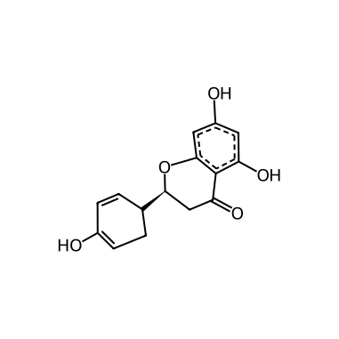 O=C1C[C@@H](C2C=CC(O)=CC2)Oc2cc(O)cc(O)c21